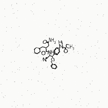 CC(=O)Nc1ccc(C(OCc2ccccc2)C(C#N)NC(=O)C(CC(N)=O)CC2CCCCC2)cc1